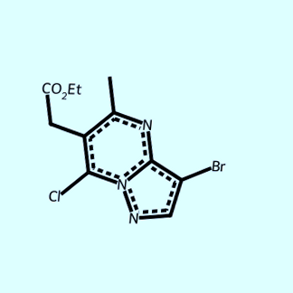 CCOC(=O)Cc1c(C)nc2c(Br)cnn2c1Cl